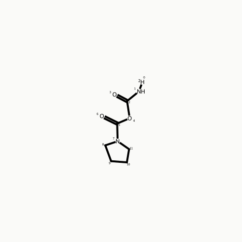 [2H]NC(=O)OC(=O)N1CCCC1